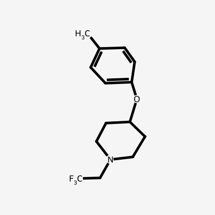 Cc1ccc(OC2CCN(CC(F)(F)F)CC2)cc1